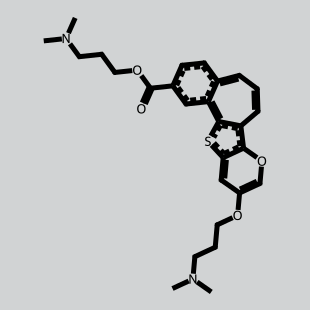 CN(C)CCCOC(=O)c1ccc2c(c1)=c1sc3c(c1C=CC=2)OC=C(OCCCN(C)C)C=3